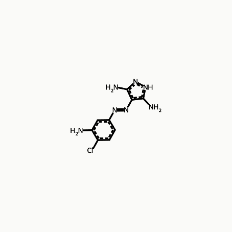 Nc1cc(N=Nc2c(N)n[nH]c2N)ccc1Cl